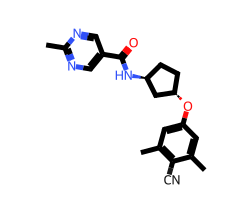 Cc1ncc(C(=O)N[C@H]2CC[C@H](Oc3cc(C)c(C#N)c(C)c3)C2)cn1